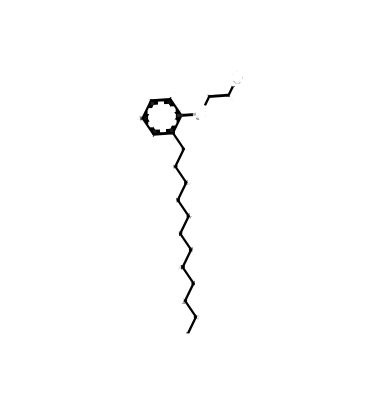 CCCCCCCCCCCCc1ccccc1OCC[O]